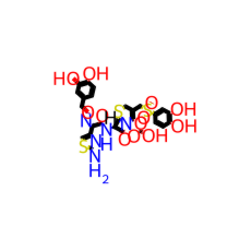 Nc1nc(/C(=N/OCc2ccc(O)c(O)c2)C(=O)N[C@@H]2C(=O)N3C(OC(=O)O)=C(CS(=O)(=O)c4ccc(O)c(O)c4)CS[C@H]23)cs1